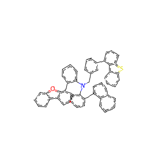 c1cc(CN(c2ccccc2-c2cccc3ccccc23)c2ccccc2-c2cccc3c2oc2ccccc23)cc(-c2cccc3sc4ccccc4c23)c1